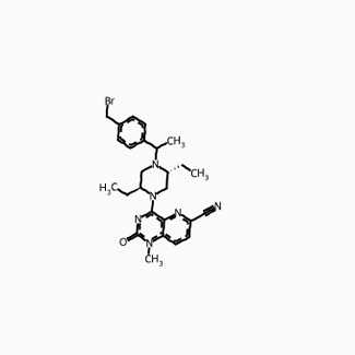 CC[C@H]1CN(C(C)c2ccc(CBr)cc2)[C@H](CC)CN1c1nc(=O)n(C)c2ccc(C#N)nc12